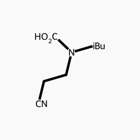 CCC(C)N(CCC#N)C(=O)O